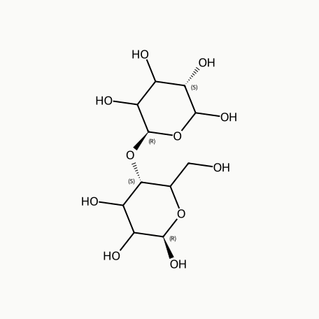 OCC1O[C@@H](O)C(O)C(O)[C@@H]1O[C@@H]1OC(O)[C@@H](O)C(O)C1O